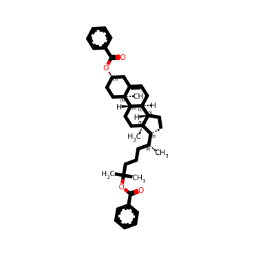 C[C@H](CCCC(C)(C)OC(=O)c1ccccc1)[C@H]1CC[C@H]2[C@@H]3CC=C4C[C@@H](OC(=O)c5ccccc5)CC[C@]4(C)[C@H]3CC[C@]12C